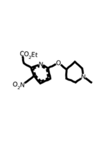 CCOC(=O)Cc1nc(OC2CCN(C)CC2)ccc1[N+](=O)[O-]